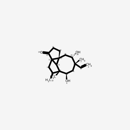 C=C[C@]1(C)C[C@@H](O)[C@]2(C)C(C)CC34C(=O)CC[C@@]3(C[C@@H]1O)C42